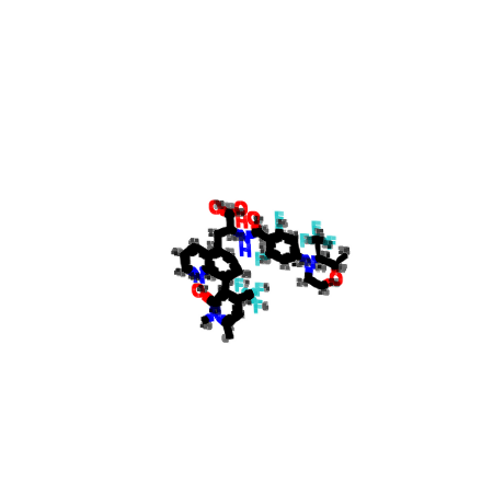 Cc1cc(C(F)(F)F)c(-c2ccc(CC(NC(=O)c3c(F)cc(N4CCO[C@H](C)[C@@H]4C(F)(F)F)cc3F)C(=O)O)c3cccnc23)c(=O)n1C